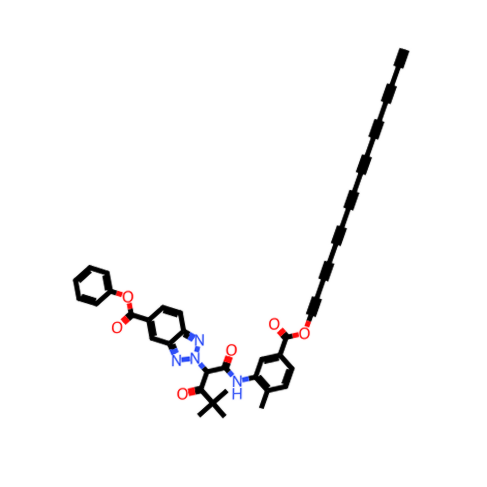 C#CC#CC#CC#CC#CC#CC#CC#COC(=O)c1ccc(C)c(NC(=O)C(C(=O)C(C)(C)C)n2nc3ccc(C(=O)Oc4ccccc4)cc3n2)c1